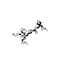 CCO[Si](CCCNC(=O)OCC1(CC)COC1)(OCC)OCC